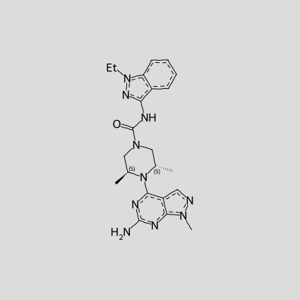 CCn1nc(NC(=O)N2C[C@H](C)N(c3nc(N)nc4c3cnn4C)[C@@H](C)C2)c2ccccc21